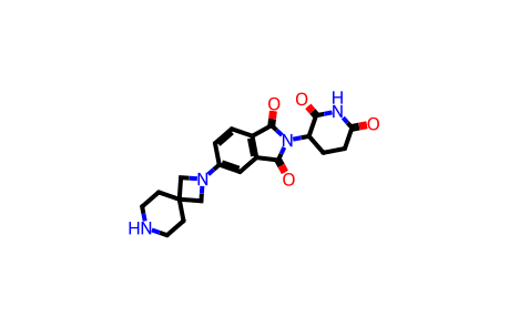 O=C1CCC(N2C(=O)c3ccc(N4CC5(CCNCC5)C4)cc3C2=O)C(=O)N1